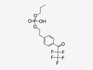 CCCOP(=O)(O)OCCc1ccc(C(=O)C(F)(F)C(F)(F)F)cc1